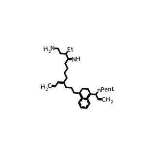 C=C/C=C(/CCCCC(=N)C(CC)CCN)CCCC1=c2ccccc2=C(C(C=C)CCCCC)CC1